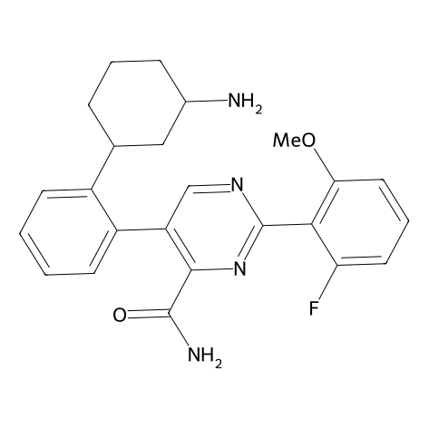 COc1cccc(F)c1-c1ncc(-c2ccccc2C2CCCC(N)C2)c(C(N)=O)n1